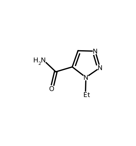 CCn1nncc1C(N)=O